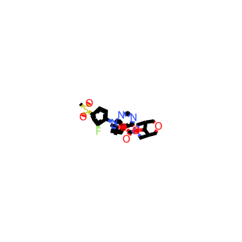 CC(C)OC(=O)N1CC2COCC(C1)C2Oc1ncnc2c1ccn2-c1ccc(S(C)(=O)=O)cc1F